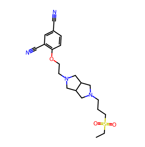 CCS(=O)(=O)CCCN1CC2CN(CCOc3ccc(C#N)cc3C#N)CC2C1